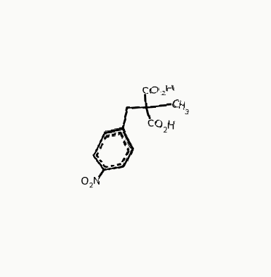 CC(Cc1ccc([N+](=O)[O-])cc1)(C(=O)O)C(=O)O